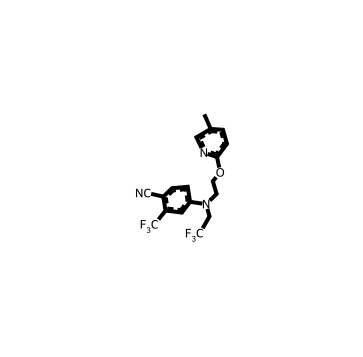 Cc1ccc(OCCN(CC(F)(F)F)c2ccc(C#N)c(C(F)(F)F)c2)nc1